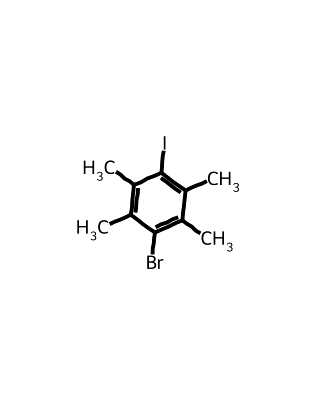 Cc1c(C)c(I)c(C)c(C)c1Br